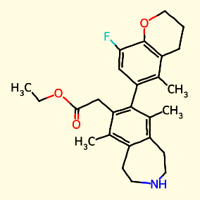 CCOC(=O)Cc1c(C)c2c(c(C)c1-c1cc(F)c3c(c1C)CCCO3)CCNCC2